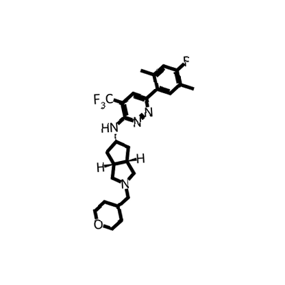 Cc1cc(-c2cc(C(F)(F)F)c(N[C@@H]3C[C@@H]4CN(CC5CCOCC5)C[C@@H]4C3)nn2)c(C)cc1F